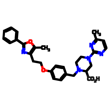 Cc1ccnc(N2CCN(Cc3ccc(OCCc4nc(-c5ccccc5)oc4C)cc3)C(C(=O)O)C2)n1